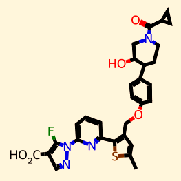 Cc1cc(COc2ccc(C3CCN(C(=O)C4CC4)CC3O)cc2)c(-c2cccc(-n3ncc(C(=O)O)c3F)n2)s1